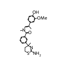 COc1cc(/C(C)=C/N(C)C(=O)c2cccc(C3(C)CCSC(N)=N3)c2)ccc1O